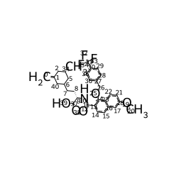 C=C1CC(C)CC(CC[C@H](NC(=O)c2ccc3cc(OC)ccc3c2OCc2ccc(C(F)(F)F)cc2)C(=O)O)C1